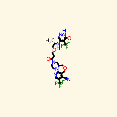 C[C@@H](COCCC(=O)N1CCN2c3ncc(C(F)(F)F)c(C#N)c3COCC2C1)Nc1cn[nH]c(=O)c1C(F)(F)F